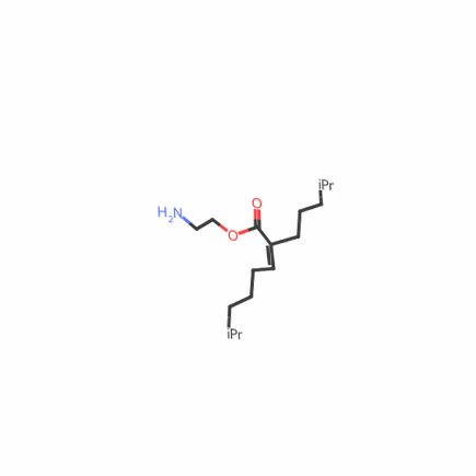 CC(C)CCCC=C(CCCC(C)C)C(=O)OCCN